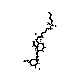 CCCCS(=O)(=O)NCCCC[C@@H](C)[C@H]1CC[C@H]2/C(=C/C=C3C[C@@H](O)C[C@H](O)C3)CCC[C@]12C